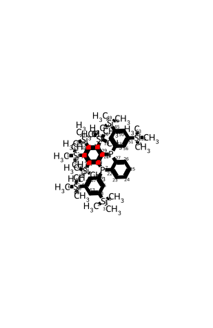 C[Si](C)(C)c1cc(P(c2cc([Si](C)(C)C)cc([Si](C)(C)C)c2)c2ccccc2P(c2cc([Si](C)(C)C)cc([Si](C)(C)C)c2)c2cc([Si](C)(C)C)cc([Si](C)(C)C)c2)cc([Si](C)(C)C)c1